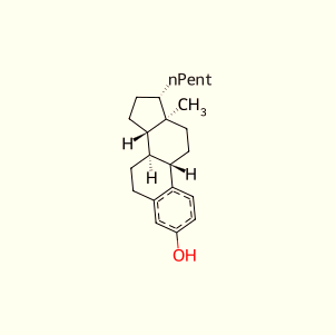 CCCCC[C@H]1CC[C@H]2[C@@H]3CCc4cc(O)ccc4[C@H]3CC[C@]12C